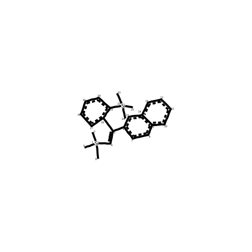 C[Si](C)(C)/C=C(/c1ccc2ccccc2c1)c1ccccc1[Si](C)(C)C